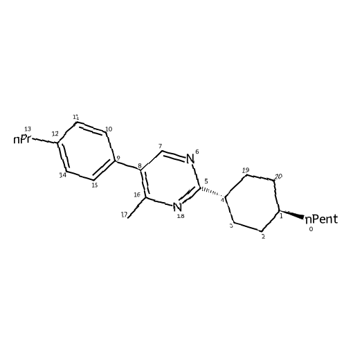 CCCCC[C@H]1CC[C@H](c2ncc(-c3ccc(CCC)cc3)c(C)n2)CC1